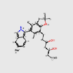 Cc1c(CCC(O)CC(O)CC(=O)[O-])c2c(c(C)c1-c1[nH]cc3ccccc13)CC(C)(C)O2.[Na+]